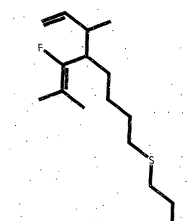 C=CC(C)C(CCCCSCCC)C(F)=C(C)C